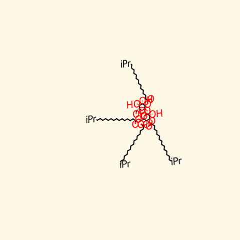 CC(C)CCCCCCCCCCCCCCC(=O)OC[C@H]1O[C@H](O[C@H]2O[C@H](CO)[C@@H](O)[C@H](O)[C@H]2OC(=O)CCCCCCCCCCCCCCC(C)C)[C@H](O)[C@@H](OC(=O)CCCCCCCCCCCCCCC(C)C)[C@@H]1OC(=O)CCCCCCCCCCCCCCC(C)C